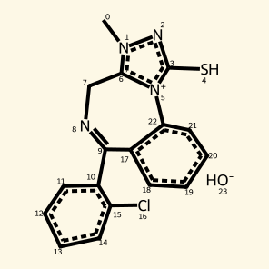 Cn1nc(S)[n+]2c1CN=C(c1ccccc1Cl)c1ccccc1-2.[OH-]